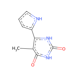 Cc1c(-c2ccc[nH]2)[nH]c(=O)[nH]c1=O